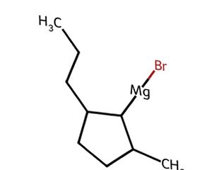 CCCC1CCC(C)[CH]1[Mg][Br]